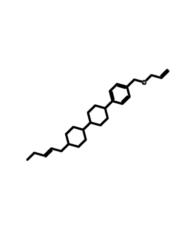 C=CCOCc1ccc(C2CCC(C3CCC(C/C=C/CC)CC3)CC2)cc1